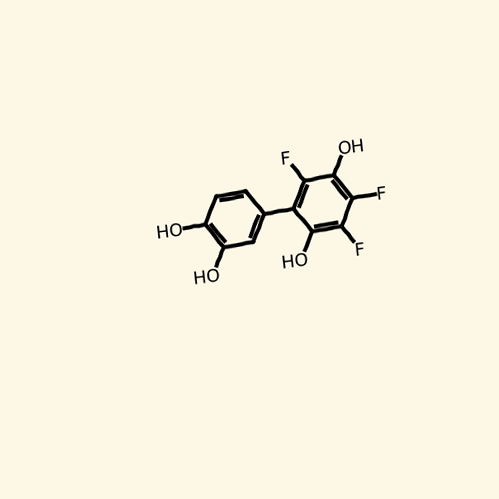 Oc1ccc(-c2c(O)c(F)c(F)c(O)c2F)cc1O